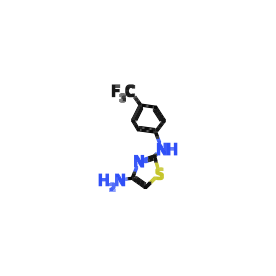 Nc1csc(Nc2ccc(C(F)(F)F)cc2)n1